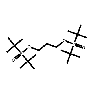 CC(C)(C)P(=O)(OCCCOP(=O)(C(C)(C)C)C(C)(C)C)C(C)(C)C